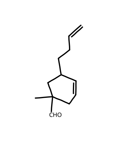 C=CCCC1C=CCC(C)(C=O)C1